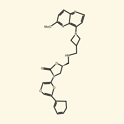 COc1ccc2nccc(N3CC(CNC[C@H]4CN(C5=COC=C(C6=CC=CCC6)O5)C(=O)O4)C3)c2n1